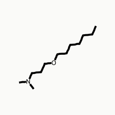 CCCCCCCOCCCN(C)C